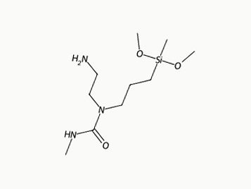 CNC(=O)N(CCN)CCC[Si](C)(OC)OC